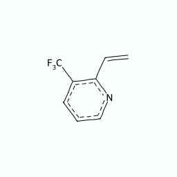 C=Cc1ncccc1C(F)(F)F